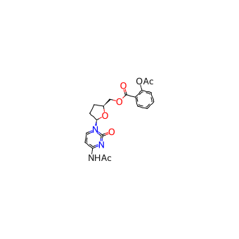 CC(=O)Nc1ccn([C@H]2CC[C@@H](COC(=O)c3ccccc3OC(C)=O)O2)c(=O)n1